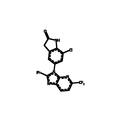 CC(C)c1nc2ccc(C(F)(F)F)nc2n1-c1cc(Cl)c2c(c1)CC(=O)N2